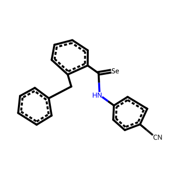 N#Cc1ccc(NC(=[Se])c2ccccc2Cc2ccccc2)cc1